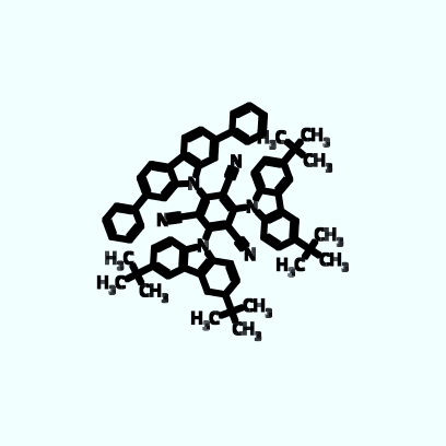 CC(C)(C)c1ccc2c(c1)c1c(n2-c2c(C#N)c(-n3c4ccc(C(C)(C)C)cc4c4cc(C(C)(C)C)ccc43)c(C#N)c(-n3c4cc(-c5ccccc5)ccc4c4ccc(-c5ccccc5)cc43)c2C#N)C=CC(C(C)(C)C)C1